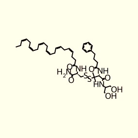 CC/C=C\C/C=C\C/C=C\C/C=C\C/C=C\C/C=C\CCC(=O)N[C@@H](CSSC(C)(C)[C@H](NC(=O)CCCc1ccccc1)C(=O)NC(CO)CO)C(N)=O